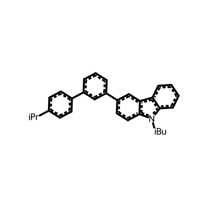 CCC(C)n1c2ccccc2c2cc(-c3cccc(-c4ccc(C(C)C)cc4)c3)ccc21